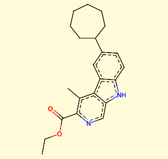 CCOC(=O)c1ncc2[nH]c3ccc(C4CCCCCC4)cc3c2c1C